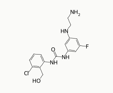 NCCNc1cc(F)cc(NC(=O)Nc2cccc(Cl)c2CO)c1